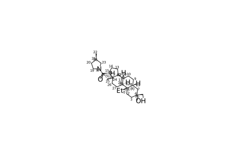 CC[C@]12CC[C@@](C)(O)C[C@H]1CC[C@H]1[C@@H]3CC[C@H](C(=O)N4CC[C@@H](C)C4)[C@@]3(C)CC[C@@H]12